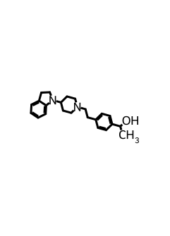 CC(O)c1ccc(CCN2CCC(N3CCc4ccccc43)CC2)cc1